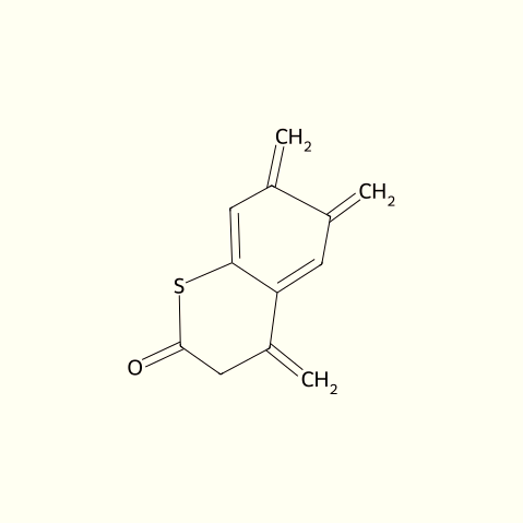 C=C1CC(=O)Sc2cc(=C)c(=C)cc21